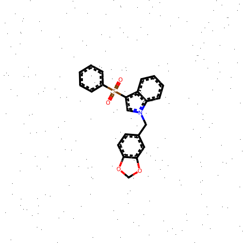 O=S(=O)(c1ccccc1)c1cn(Cc2ccc3c(c2)OCO3)c2ccccc12